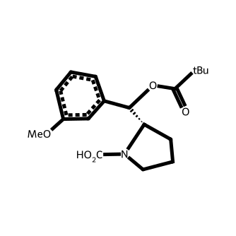 COc1cccc(C(OC(=O)C(C)(C)C)[C@@H]2CCCN2C(=O)O)c1